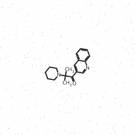 CC(C)(C(=O)c1cnc2ccccc2c1)N1CCCCC1